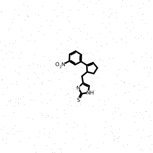 O=[N+]([O-])c1cccc(C2=CCCC2CC2=CNC(=S)[N]2)c1